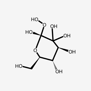 OC[C@H]1O[C@](O)(OO)C(O)(O)[C@@H](O)[C@@H]1O